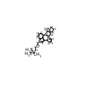 C[Si](C)(C)CCOCn1cc(-c2nccs2)c2c(N3CCC4(CCCN4)C3)ccnc21